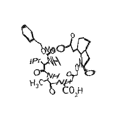 COC(=O)CC1CCCC2CC(=O)N(OCC(=O)CC(NC(=O)C(C)NC(=O)C(NC(=O)OCc3ccccc3)C(C)C)C(=O)O)C12